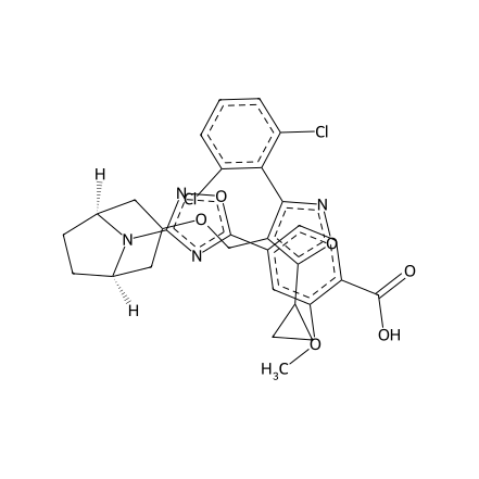 COc1cc(-c2nc(N3[C@@H]4CC[C@H]3CC(OCc3c(-c5c(Cl)cccc5Cl)noc3C3CC3)C4)no2)ccc1C(=O)O